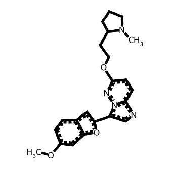 COc1ccc2cc(-c3cnc4ccc(OCCC5CCCN5C)nn34)oc2c1